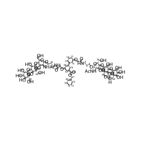 CC(=O)N[C@H]1[C@H](OCCCNC(=O)COc2cccc(-c3cc(OCC(=O)NCCCO[C@@H]4O[C@H](CO)[C@@H](O[C@@H]5O[C@H](CO)[C@H](O)[C@H](O[C@H]6O[C@H](CO)[C@H](O)[C@H](O)[C@H]6O)[C@H]5O)[C@H](O)[C@H]4NC(C)=O)cc(C(=O)OCc4ccccc4)c3)c2)O[C@H](CO)[C@@H](O[C@@H]2O[C@H](CO)[C@H](O)[C@H](O[C@H]3O[C@H](CO)[C@H](O)[C@H](O)[C@H]3O)[C@H]2O)[C@@H]1O